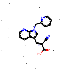 N#C/C(=C\c1cn(Cc2ccccn2)c2ncccc12)C(=O)O